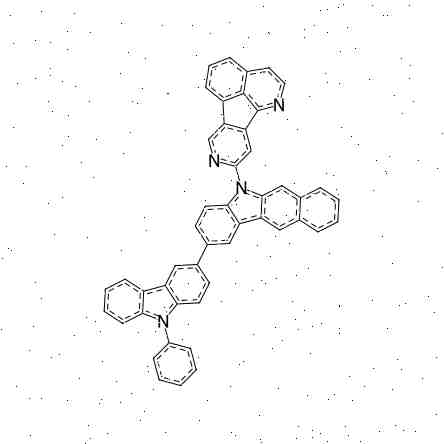 c1ccc(-n2c3ccccc3c3cc(-c4ccc5c(c4)c4cc6ccccc6cc4n5-c4cc5c(cn4)-c4cccc6ccnc-5c46)ccc32)cc1